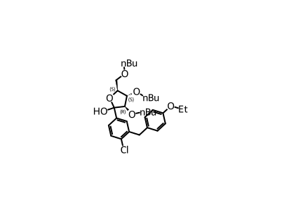 CCCCOC[C@@H]1OC(O)(c2ccc(Cl)c(Cc3ccc(OCC)cc3)c2)[C@H](OCCCC)[C@H]1OCCCC